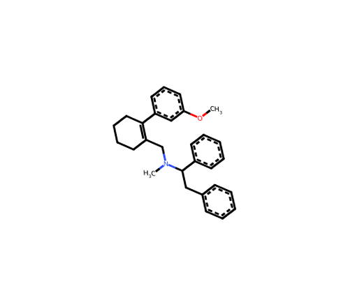 COc1cccc(C2=C(CN(C)C(Cc3ccccc3)c3ccccc3)CCCC2)c1